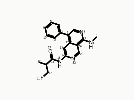 CNc1ncc(-c2ccccc2)c2cc(NC(=O)C(C)CF)ncc12